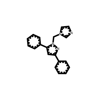 c1ccc(-c2cc(-c3ccccc3)n(Cn3ccnc3)n2)cc1